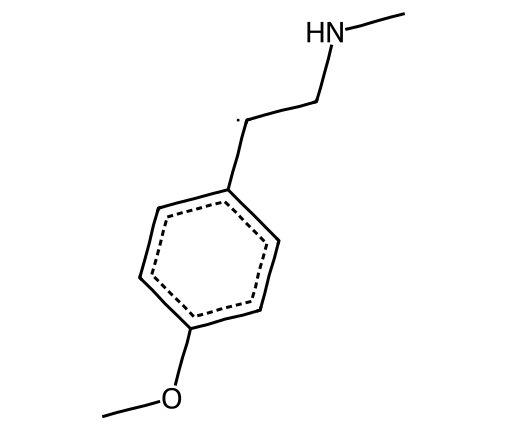 CNC[CH]c1ccc(OC)cc1